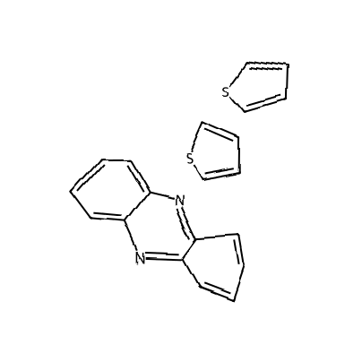 c1ccc2nc3ccccc3nc2c1.c1ccsc1.c1ccsc1